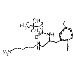 CC(C)(C)OC(=O)NC(CNCCCCN)Cc1cc(F)ccc1F